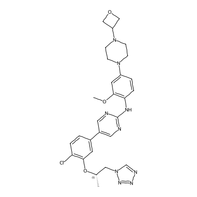 COc1cc(N2CCN(C3COC3)CC2)ccc1Nc1ncc(-c2ccc(Cl)c(O[C@@H](C)Cn3cnnn3)c2)cn1